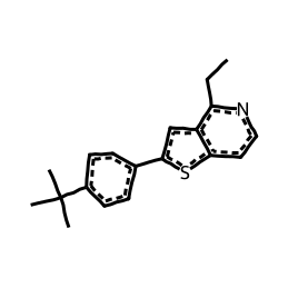 CCc1nccc2sc(-c3ccc(C(C)(C)C)cc3)cc12